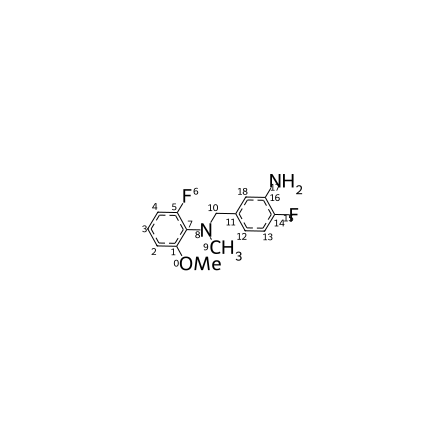 COc1cccc(F)c1N(C)Cc1ccc(F)c(N)c1